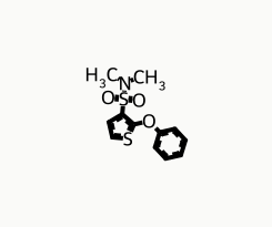 CN(C)S(=O)(=O)c1ccsc1Oc1ccccc1